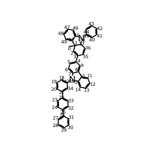 CC12C=C(c3ccc4c(c3)c3ccccc3n4-c3cccc(-c4ccc(-c5ccccc5)cc4)c3)C=CC1N(c1ccccc1)c1ccccc12